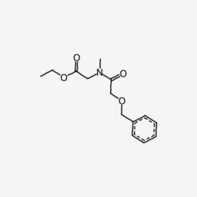 CCOC(=O)CN(C)C(=O)COCc1ccccc1